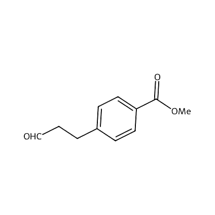 COC(=O)c1ccc(CCC=O)cc1